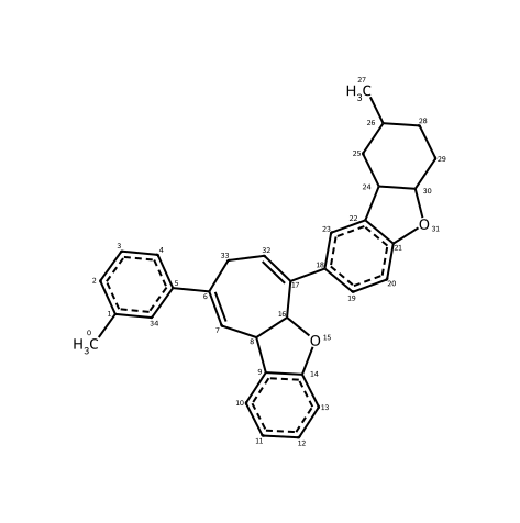 Cc1cccc(C2=CC3c4ccccc4OC3C(c3ccc4c(c3)C3CC(C)CCC3O4)=CC2)c1